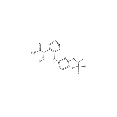 CON=C(C(N)=O)c1ccccc1Oc1nccc(OC(C)C(F)(F)F)n1